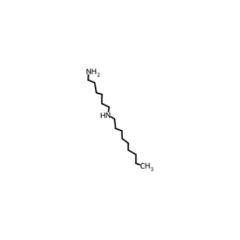 CCCCCCCCCNCCCCCCN